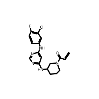 C=CC(=O)N1CCCC(Nc2cc(Nc3ccc(F)c(Cl)c3)ncn2)C1